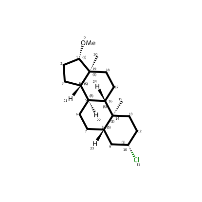 CO[C@H]1CC[C@H]2[C@@H]3CC[C@H]4C[C@@H](Cl)CC[C@]4(C)[C@H]3CC[C@]12C